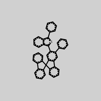 c1ccc(-c2cc3c(cc2-c2sc(-c4ccccc4)c4ccccc24)C2(c4ccccc4-c4ccccc42)c2ccccc2-3)cc1